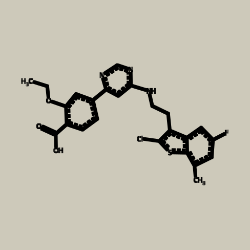 CCOc1cc(-c2cc(NCCc3c(Cl)sc4c(C)cc(F)cc34)ncn2)ccc1C(=O)O